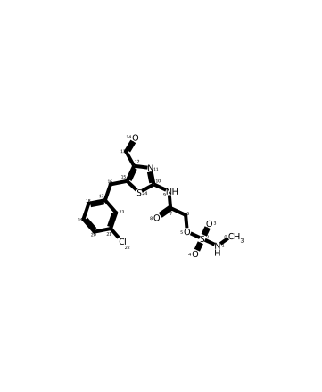 CNS(=O)(=O)OCC(=O)Nc1nc(C=O)c(Cc2cccc(Cl)c2)s1